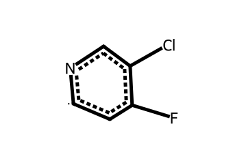 Fc1c[c]ncc1Cl